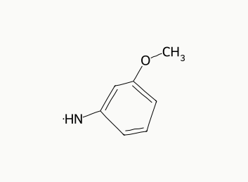 COc1cccc([NH])c1